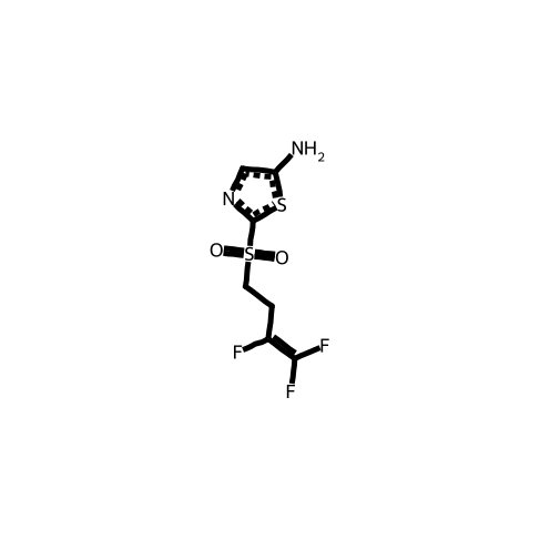 Nc1cnc(S(=O)(=O)CCC(F)=C(F)F)s1